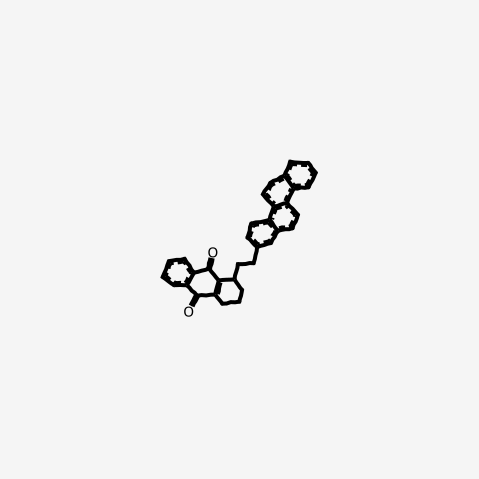 O=C1C2=C(C(=O)c3ccccc31)C(CCc1ccc3c(ccc4c5ccccc5ccc34)c1)CCC2